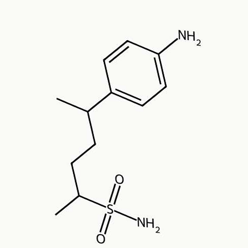 CC(CCC(C)S(N)(=O)=O)c1ccc(N)cc1